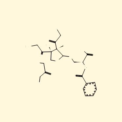 O=C(N[C@@H](CSC1O[C@H](C(O)C(=O)CO)[C@](O)(C(=O)CO)[C@]1(O)C(=O)CO)C(=O)O)c1ccccc1